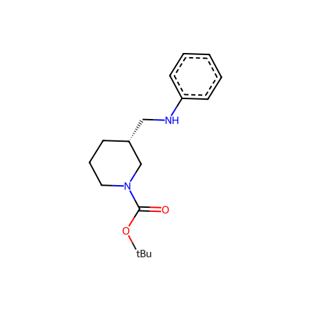 CC(C)(C)OC(=O)N1CCC[C@H](CNc2ccccc2)C1